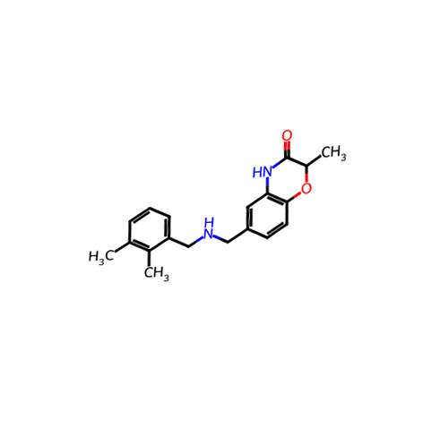 Cc1cccc(CNCc2ccc3c(c2)NC(=O)C(C)O3)c1C